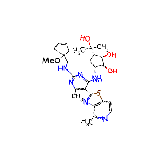 COC1(CNc2nc(C)c(-c3nc4c(C)nccc4s3)c(N[C@@H]3C[C@H](C(C)(C)O)[C@@H](O)[C@H]3O)n2)CCCC1